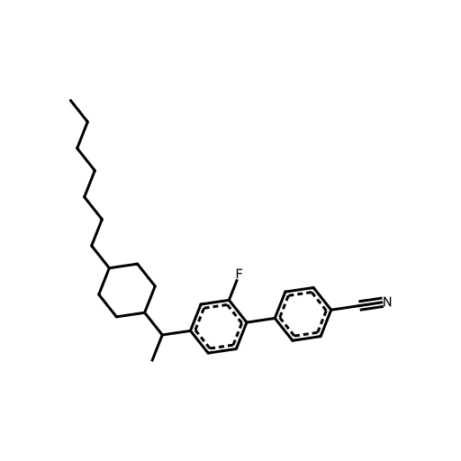 CCCCCCCC1CCC(C(C)c2ccc(-c3ccc(C#N)cc3)c(F)c2)CC1